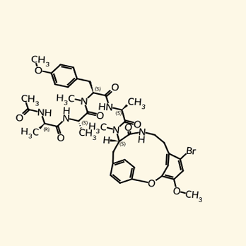 COc1ccc(C[C@@H](C(=O)N[C@@H](C)C(=O)N(C)[C@H]2Cc3ccc(cc3)Oc3cc(c(Br)cc3OC)CCNC2=O)N(C)C(=O)[C@H](C)NC(=O)[C@@H](C)NC(C)=O)cc1